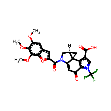 COc1cc2cc(C(=O)N3C[C@H]4C[C@@]45C3=CC(=O)c3c5c(C(=O)O)cn3C(F)(F)F)oc2c(OC)c1OC